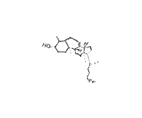 CC(C)CCC[C@@H](C)[C@H]1CC[C@H]2C3=CCC4C(C)[C@@H](O)CC[C@]4(C)[C@H]3CC[C@]12C